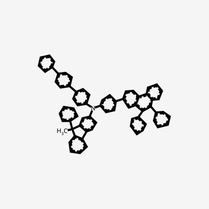 CC1(c2ccccc2)c2ccccc2-c2ccc(N(c3ccc(-c4ccc(-c5ccccc5)cc4)cc3)c3ccc(-c4ccc5c(c4)c(-c4ccccc4)c(-c4ccccc4)c4ccccc45)cc3)cc21